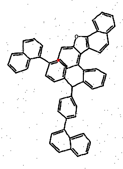 c1ccc(C(c2ccc(-c3cccc4ccccc34)cc2)c2ccc(-c3cccc4ccccc34)cc2)c(-c2cccc3oc4c5ccccc5ccc4c23)c1